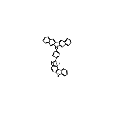 c1ccc2cc3c(cc2c1)c1cc2ccccc2cc1n3-c1ccc(-c2nc3ccc4sc5ccccc5c4c3o2)cc1